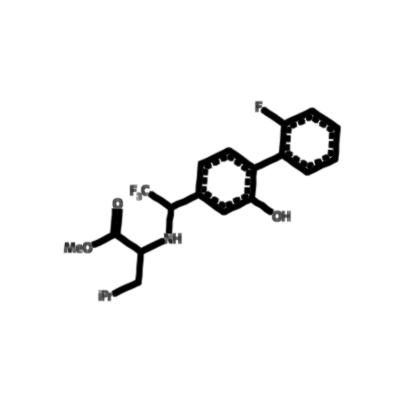 COC(=O)C(CC(C)C)NC(c1ccc(-c2ccccc2F)c(O)c1)C(F)(F)F